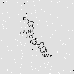 CNc1cc2cc(-c3cnc(NCC(N)Cc4ccc(Cl)cc4)s3)ccc2cn1